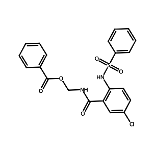 O=C(OCNC(=O)c1cc(Cl)ccc1NS(=O)(=O)c1ccccc1)c1ccccc1